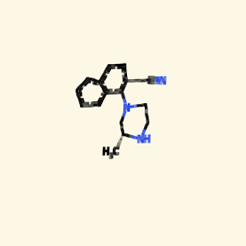 C[C@@H]1CN(c2c(C#N)ccc3ccccc23)CCN1